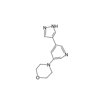 c1ncc(N2CCOCC2)cc1-c1cn[nH]c1